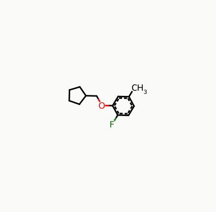 Cc1ccc(F)c(OCC2CCCC2)c1